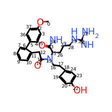 COc1ccc(-c2ccccc2CC(=O)N(CCc2ccc(O)cc2)[C@H](CCCNC(=N)N)C(N)=O)cc1